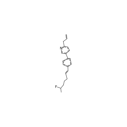 C=CCc1ccc(-c2ccc(/C=C/CCCC(C)F)cc2)cn1